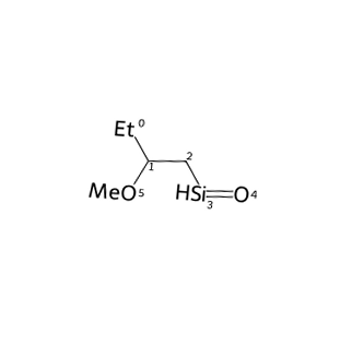 CCC(C[SiH]=O)OC